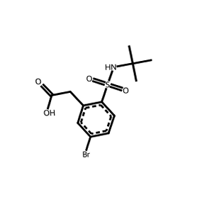 CC(C)(C)NS(=O)(=O)c1ccc(Br)cc1CC(=O)O